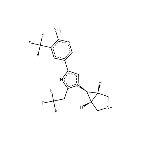 Nc1ncc(-c2cn([C@H]3[C@@H]4CNC[C@@H]43)c(CC(F)(F)F)n2)cc1C(F)(F)F